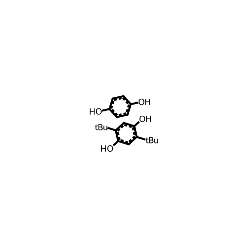 CC(C)(C)c1cc(O)c(C(C)(C)C)cc1O.Oc1ccc(O)cc1